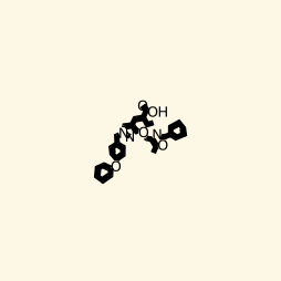 CCC(=Cc1cn(Cc2ccc(Oc3ccccc3)cc2)nc1OCc1nc(-c2ccccc2)oc1C)C(=O)O